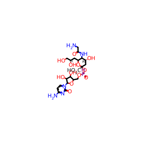 NCC(=O)NC1C(C[C@H](O)CO)O[C@](O[PH](=O)OCC2OC(n3ccc(N)nc3=O)C(O)C2O)(C(=O)O)C[C@H]1O